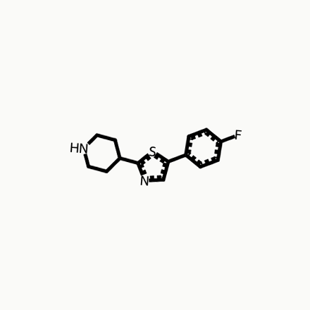 Fc1ccc(-c2cnc(C3CCNCC3)s2)cc1